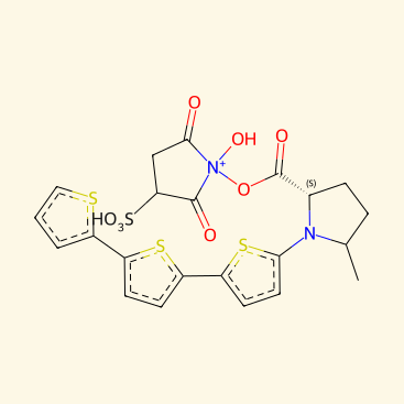 CC1CC[C@@H](C(=O)O[N+]2(O)C(=O)CC(S(=O)(=O)O)C2=O)N1c1ccc(-c2ccc(-c3cccs3)s2)s1